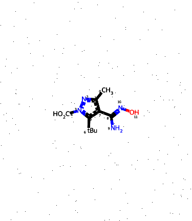 Cc1nn(C(=O)O)c(C(C)(C)C)c1C(N)=NO